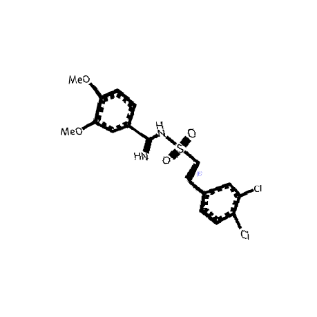 COc1ccc(C(=N)NS(=O)(=O)/C=C/c2ccc(Cl)c(Cl)c2)cc1OC